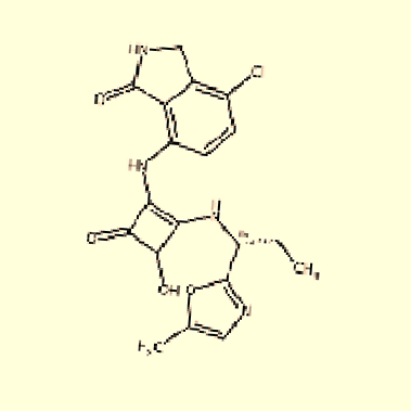 CC[C@@H](NC1=C(Nc2ccc(Cl)c3c2C(=O)NC3)C(=O)C1O)c1ncc(C)o1